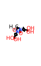 Cc1cn(C2CC(C(O)O)C2)c(=O)n(C2CC(C(O)O)C2)c1=O